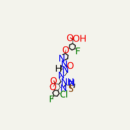 COC(=O)C1=C(CN2CCN3C(=O)N(c4ccc(Oc5cc(F)cc(C(=O)O)c5)cn4)C[C@@H]3C2)NC(c2nccs2)=N[C@H]1c1ccc(F)cc1Cl